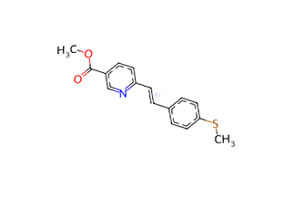 COC(=O)c1ccc(/C=C/c2ccc(SC)cc2)nc1